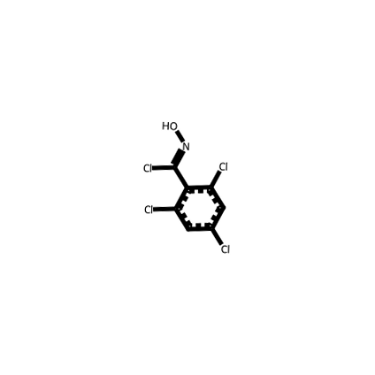 ON=C(Cl)c1c(Cl)cc(Cl)cc1Cl